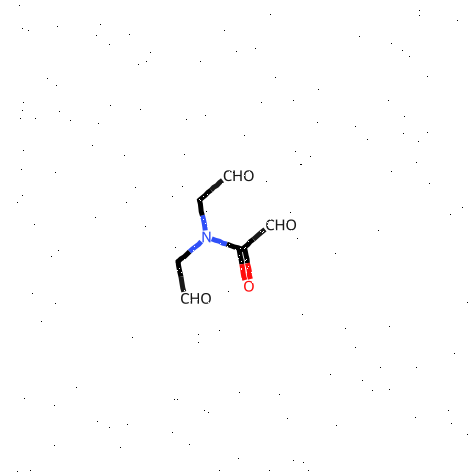 O=CCN(CC=O)C(=O)C=O